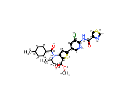 COC(=O)c1sc(-c2cnc(NC(=O)c3cscn3)c(Cl)c2)cc1N(C(=O)C1CCC(C)CC1)C(C)C